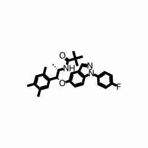 Cc1cc(C)c([C@@H](Oc2ccc3c(cnn3-c3ccc(F)cc3)c2)[C@H](C)NC(=O)C(C)(C)C)cc1C